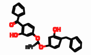 CCCC(Oc1ccc(Cc2ccccc2)c(O)c1)Oc1ccc(C(=O)c2ccccc2)c(O)c1